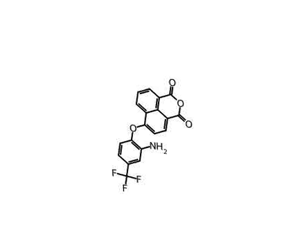 Nc1cc(C(F)(F)F)ccc1Oc1ccc2c3c(cccc13)C(=O)OC2=O